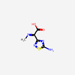 C/N=C(/C(=O)O)c1nsc(N)n1